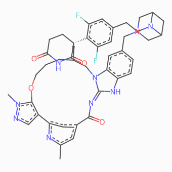 Cc1cc2cc(n1)-c1cnn(C)c1OCCC[C@@H](C)CN1/C(=N/C2=O)Nc2ccc(CN3CC4CC(C3)N4CCc3cc(F)c([C@H]4CCC(=O)NC4=O)c(F)c3)cc21